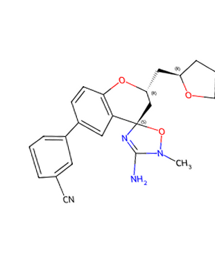 CN1O[C@]2(C[C@@H](C[C@H]3CCCO3)Oc3ccc(-c4cccc(C#N)c4)cc32)N=C1N